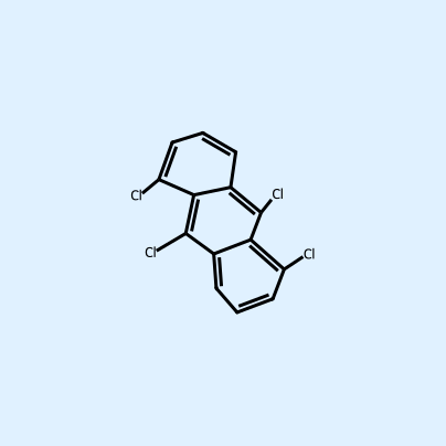 Clc1cccc2c(Cl)c3c(Cl)cccc3c(Cl)c12